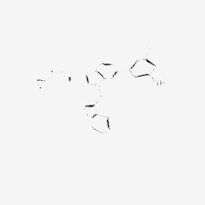 Nc1cc(N)cc(-c2ccc3c(CC(=O)NS(=O)(=O)C4CC4)cn(Cc4csc5ccc(Cl)cc45)c3c2)c1